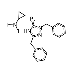 IN(I)C1CC1.[Pt]=[c]1[nH]c(Cc2ccccc2)nn1Cc1ccccc1